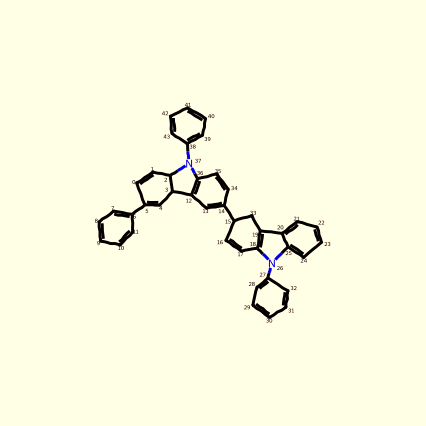 C1=CC2C(C=C1c1ccccc1)c1cc(C3C=Cc4c(c5ccccc5n4-c4ccccc4)C3)ccc1N2c1ccccc1